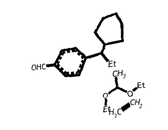 C=C.CCC(c1ccc(C=O)cc1)C1CCCCC1.CCOC(C)OCC